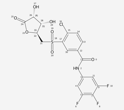 O=C(Nc1cc(F)c(F)c(F)c1)c1ccc(Cl)c(S(=O)(=O)C[C@H]2OC(=O)[C@H](O)[C@@H]2O)c1